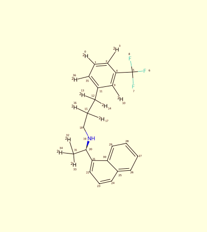 [2H]c1c([2H])c(C(F)(F)F)c([2H])c(C([2H])([2H])C([2H])([2H])CN[C@@H](c2cccc3ccccc23)C([2H])([2H])[2H])c1[2H]